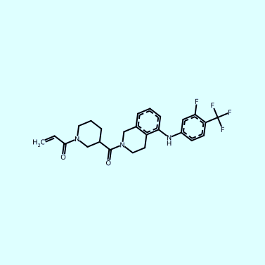 C=CC(=O)N1CCCC(C(=O)N2CCc3c(cccc3Nc3ccc(C(F)(F)F)c(F)c3)C2)C1